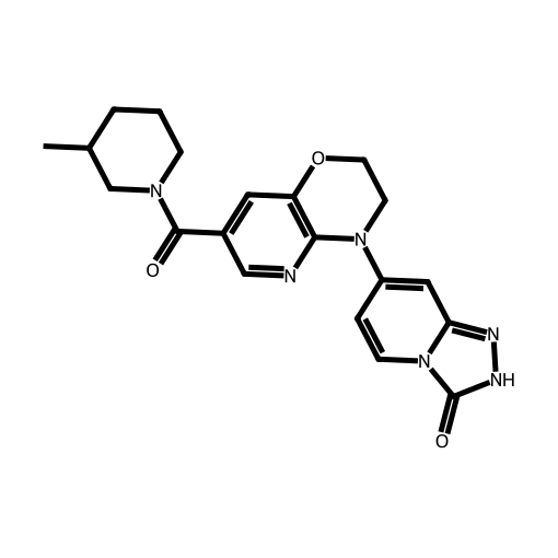 CC1CCCN(C(=O)c2cnc3c(c2)OCCN3c2ccn3c(=O)[nH]nc3c2)C1